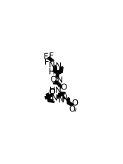 COC(=O)CCn1cc(NC(=O)c2coc(-c3ccnc(NCC(F)(F)F)c3)n2)c(N2CCC(C)(C)C2=O)n1